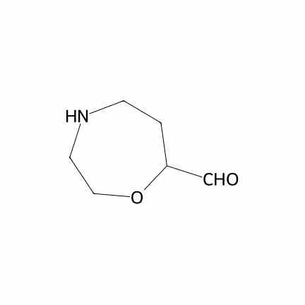 O=CC1CCNCCO1